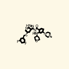 CN1CCN(c2ccc(C(=O)Nc3n[nH]c4ncc(SCc5cc(F)cc(F)c5)cc34)c(NC3CCOCC3)c2)CC1